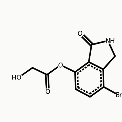 O=C(CO)Oc1ccc(Br)c2c1C(=O)NC2